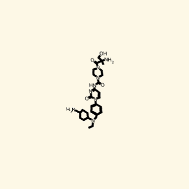 CCN(Cc1ccc(-n2ccc(NC(=O)N3CCN(C(=O)C(C)(N)CO)CC3)nc2=O)cc1)C1CCC(N)CC1